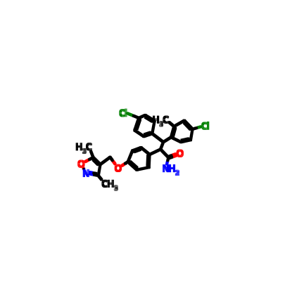 Cc1cc(Cl)ccc1C(c1ccc(Cl)cc1)C(C(N)=O)c1ccc(OCc2c(C)noc2C)cc1